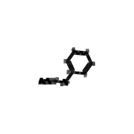 CC(=O)N[N]c1ccccc1